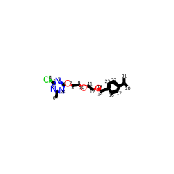 Cc1nc(Cl)nc(OCCOCCOCc2ccc(C(C)C)cc2)n1